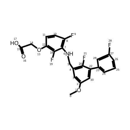 COc1cc(CNc2c(F)ccc(OCC(=O)O)c2F)c(F)c(-c2cccc(F)c2)c1